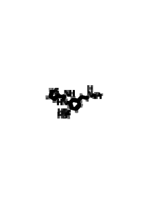 Br.Br.CC(C)NCCc1cccc(NC(=N)c2cccs2)c1